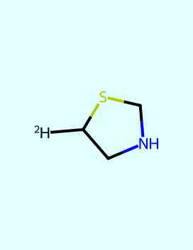 [2H]C1CNCS1